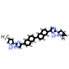 C[C@H]1CN[C@H](c2nc(-c3ccc4cc(-c5ccc6cc(-c7cnc([C@@H]8CC9C[C@H]9N8)[nH]7)ccc6c5)ccc4c3)c[nH]2)C1